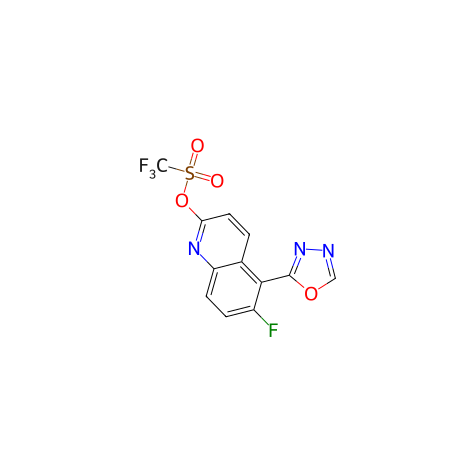 O=S(=O)(Oc1ccc2c(-c3nnco3)c(F)ccc2n1)C(F)(F)F